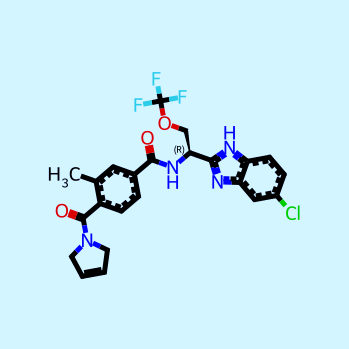 Cc1cc(C(=O)N[C@@H](COC(F)(F)F)c2nc3cc(Cl)ccc3[nH]2)ccc1C(=O)N1CC=CC1